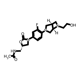 CC(=O)NC[C@H]1CN(c2ccc(N3C[C@H]4CN(CCO)[C@H]4C3)c(F)c2)C(=O)O1